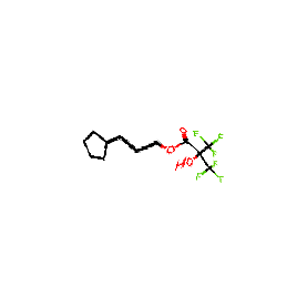 O=C(OCCCC1CCCC1)C(O)(C(F)(F)F)C(F)(F)F